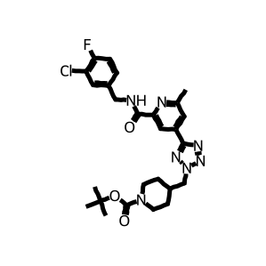 Cc1cc(-c2nnn(CC3CCN(C(=O)OC(C)(C)C)CC3)n2)cc(C(=O)NCc2ccc(F)c(Cl)c2)n1